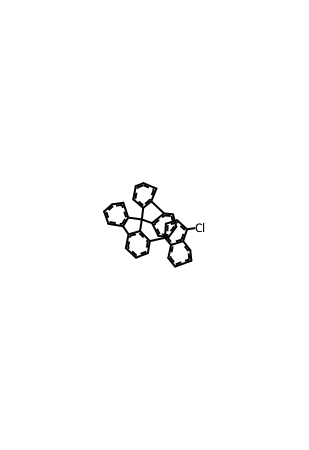 Clc1ccc(-c2cccc3c2C2(c4ccccc4-c4ccccc42)c2ccccc2-3)c2ccccc12